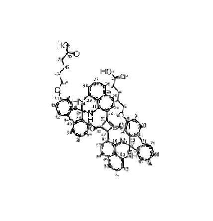 O=C(O)CCCCOc1ccc2c(c1)C1(N=c3/c(=C4/C(=O)C(c5ccc6cccc7c6c5NC5(N7)c6ccccc6-c6ccc(OCCCCC(=O)O)cc65)=C4O)ccc4cccc(c34)N1)c1ccccc1-2